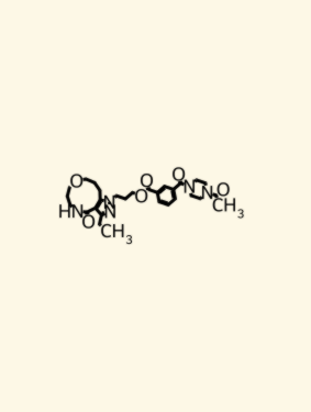 CCc1nn(CCCOC(=O)c2cccc(C(=O)N3CCN(C(C)=O)CC3)c2)c2c1C(=O)NCCCOCCC2